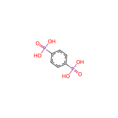 O=P(O)(O)c1ccc(P(=O)(O)O)cc1